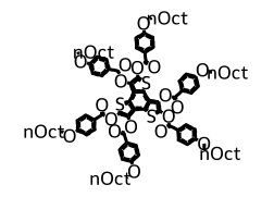 CCCCCCCCOc1ccc(C(=O)Oc2sc3c(c2OC(=O)c2ccc(OCCCCCCCC)cc2)c2sc(OC(=O)c4ccc(OCCCCCCCC)cc4)c(OC(=O)c4ccc(OCCCCCCCC)cc4)c2c2sc(OC(=O)c4ccc(OCCCCCCCC)cc4)c(OC(=O)c4ccc(OCCCCCCCC)cc4)c32)cc1